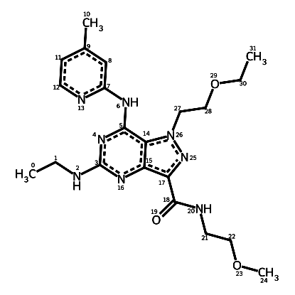 CCNc1nc(Nc2cc(C)ccn2)c2c(n1)c(C(=O)NCCOC)nn2CCOCC